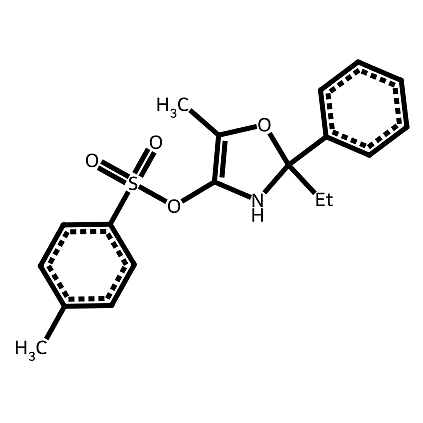 CCC1(c2ccccc2)NC(OS(=O)(=O)c2ccc(C)cc2)=C(C)O1